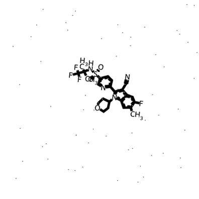 Cc1cc2c(cc1F)c(C#N)c(-c1ccc(S(=O)(=O)NC(C)(C)C(F)(F)F)cn1)n2C1CCOCC1